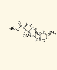 COc1cc(C(=O)OC(C)(C)C)ccc1Cn1ccc2ccc(N)cc21